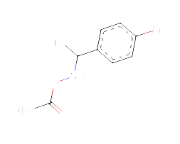 CC(C)C(NOC(=O)C(C)(C)C)c1ccc(Br)cc1